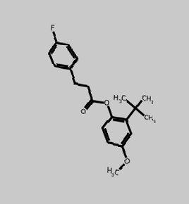 COc1ccc(OC(=O)CCc2ccc(F)cc2)c(C(C)(C)C)c1